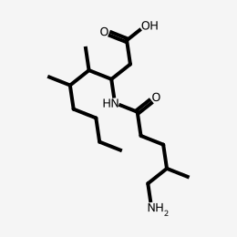 CCCCC(C)C(C)C(CC(=O)O)NC(=O)CCC(C)CN